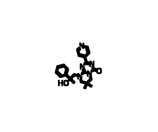 CC1(C)CN(CC(C)(O)c2ccccc2)c2nc(-c3ccncc3)nc(=O)n2C1